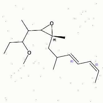 C/C=C\C=C\C(C)C[C@@]1(C)OC1C(C)C(CC)OC